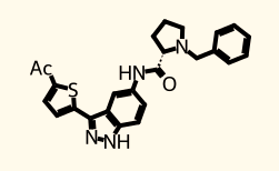 CC(=O)c1ccc(-c2n[nH]c3ccc(NC(=O)[C@@H]4CCCN4Cc4ccccc4)cc23)s1